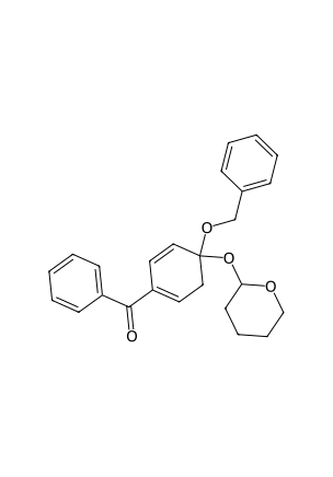 O=C(C1=CCC(OCc2ccccc2)(OC2CCCCO2)C=C1)c1ccccc1